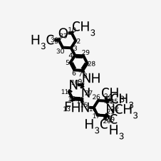 CC1CC(c2ccc(Nc3ncc(F)c(NC4CC(C)(C)N(C)C(C)(C)C4)n3)cc2)CC(C)O1